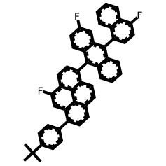 CC(C)(C)c1ccc(-c2ccc3ccc4c(-c5c6ccccc6c(-c6ccc(F)c7ccccc67)c6cc(F)ccc56)ccc5c(F)cc2c3c54)cc1